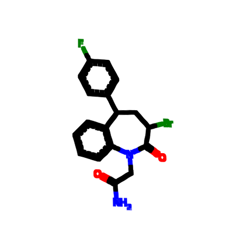 NC(=O)CN1C(=O)C(Br)CC(c2ccc(F)cc2)c2ccccc21